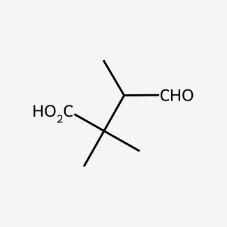 CC(C=O)C(C)(C)C(=O)O